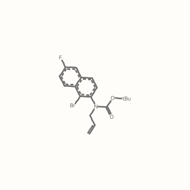 C=CCN(C(=O)OC(C)(C)C)c1ccc2cc(F)ccc2c1Br